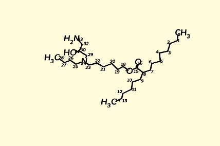 CCCCCCCCC(CCCCCC)C(=O)OCCCCCCN(CCCC)CC(O)CN